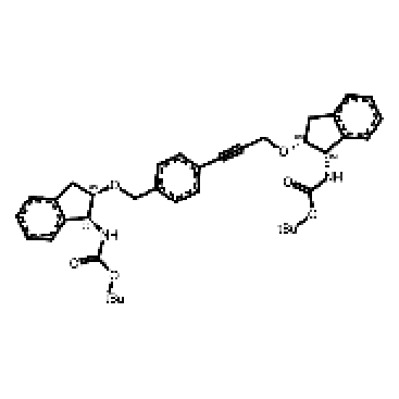 CC(C)(C)OC(=O)N[C@H]1c2ccccc2C[C@H]1OCC#Cc1ccc(CO[C@@H]2Cc3ccccc3[C@@H]2NC(=O)OC(C)(C)C)cc1